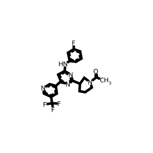 CC(=O)N1CCCC(c2nc(Nc3cccc(F)c3)cc(-c3cncc(C(F)(F)F)c3)n2)C1